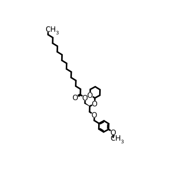 CCCCCCCCCCCCCCCC(=O)OC[C@H](COCc1ccc(OC)cc1)OC1CCCCO1